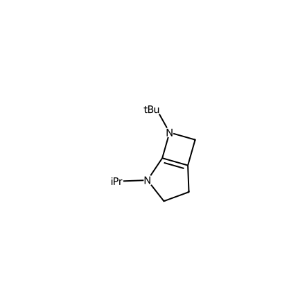 CC(C)N1CCC2=C1N(C(C)(C)C)C2